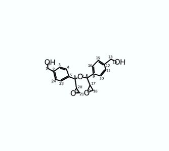 OCc1ccc(C(OC(c2ccc(CO)cc2)C2CO2)C2CO2)cc1